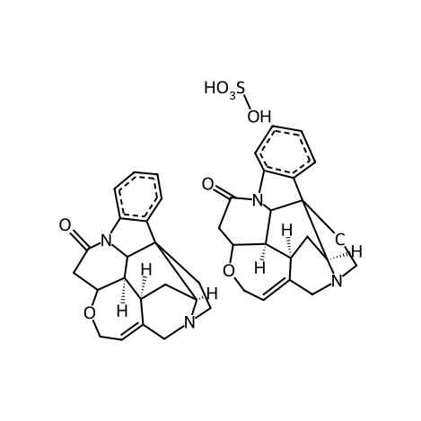 O=C1CC2OCC=C3CN4CCC56c7ccccc7N1C5[C@H]2[C@H]3C[C@H]46.O=C1CC2OCC=C3CN4CCC56c7ccccc7N1C5[C@H]2[C@H]3C[C@H]46.O=S(=O)(O)O